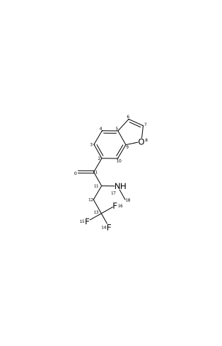 C=C(c1ccc2ccoc2c1)C(CC(F)(F)F)NC